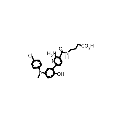 CN(c1ccc(Cl)cc1)c1ccc(O)c(-c2ccc(C(=O)NCCCC(=O)O)c(N)n2)c1